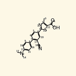 Cc1nc(-c2ccc(-c3ccc(N(C)C)cc3)c(C#N)c2)sc1C(=O)O